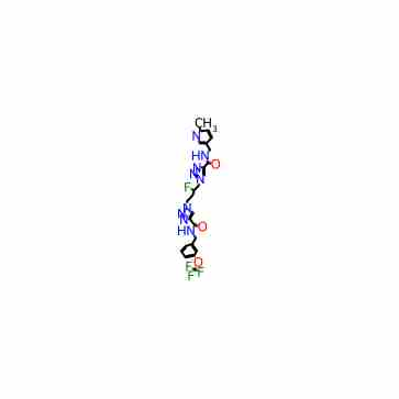 Cc1ccc(CNC(=O)c2cn(CC(F)CCn3cc(C(=O)NCc4cccc(OC(F)(F)F)c4)nn3)nn2)cn1